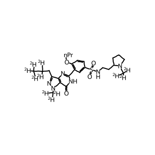 [2H]C([2H])([2H])N1CCCC1CCNS(=O)(=O)c1ccc(OCCC)c(-c2nc3c(CC([2H])([2H])C([2H])([2H])[2H])nn(C([2H])([2H])[2H])c3c(=O)[nH]2)c1